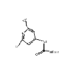 CCCCCC(=O)Nc1cc(Cl)nc(Cl)c1